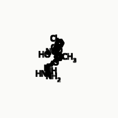 Cc1cc(OCC/C=N\NC(=N)N)cc(OS(=O)(=O)c2cccc(Cl)c2)c1.O=[N+]([O-])O